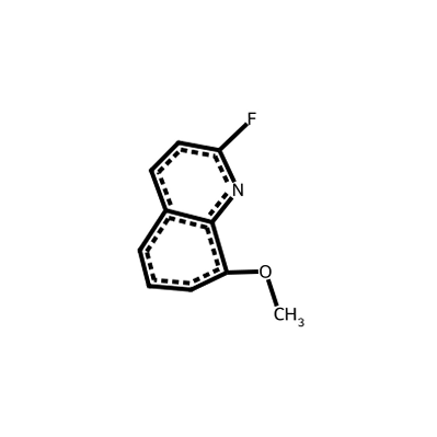 COc1cccc2ccc(F)nc12